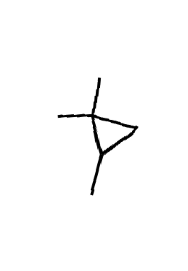 CC1CC1(C)C